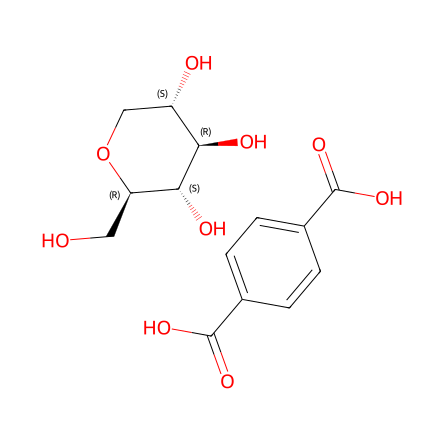 O=C(O)c1ccc(C(=O)O)cc1.OC[C@H]1OC[C@H](O)[C@@H](O)[C@@H]1O